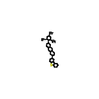 CC(C)c1cc(C(C)C)c(-c2ccc3cc4cc(-c5ccc6sc7ccccc7c6c5)ccc4cc3c2)c(C(C)C)c1